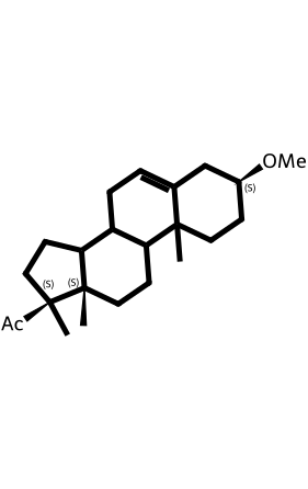 CO[C@H]1CCC2(C)C(=CCC3C2CC[C@@]2(C)C3CC[C@]2(C)C(C)=O)C1